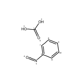 O=C(O)O.O=Nc1ccccc1